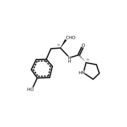 O=[C][C@H](Cc1ccc(O)cc1)NC(=O)[C@@H]1CCCN1